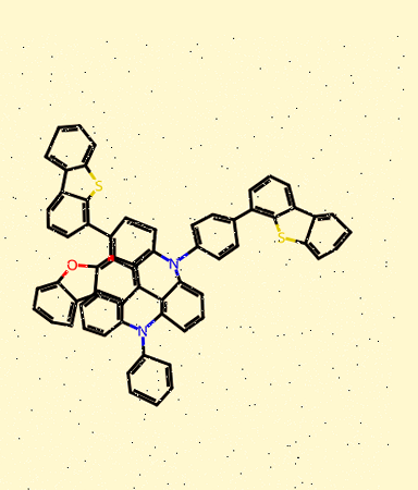 c1ccc(N(c2ccccc2)c2cccc(N(c3ccc(-c4cccc5c4sc4ccccc45)cc3)c3ccc(-c4cccc5c4sc4ccccc45)cc3)c2-c2ccc3oc4ccccc4c3c2)cc1